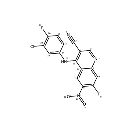 N#Cc1cnc2cc(F)c([N+](=O)[O-])cc2c1Nc1ccc(F)c(Cl)c1